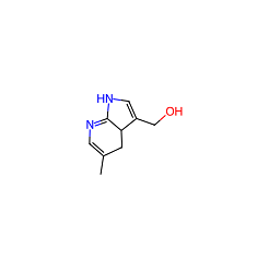 CC1=CN=C2NC=C(CO)C2C1